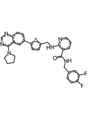 O=C(NCc1ccc(F)c(F)c1)c1cccnc1NCc1ccc(-c2ccc3ncnc(N4CCCC4)c3c2)s1